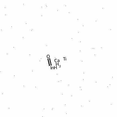 [CaH2].[O]=[InH].[Ti]